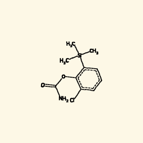 C[Si](C)(C)c1cccc(Cl)c1OC(N)=O